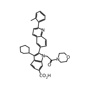 Cc1ccccc1-c1ccc2cc(-c3c(C4CCCCC4)c4ccc(C(=O)O)cc4n3CC(=O)N3CCOCC3)ccc2n1